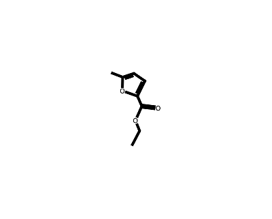 CCOC(=O)c1ccc(C)o1